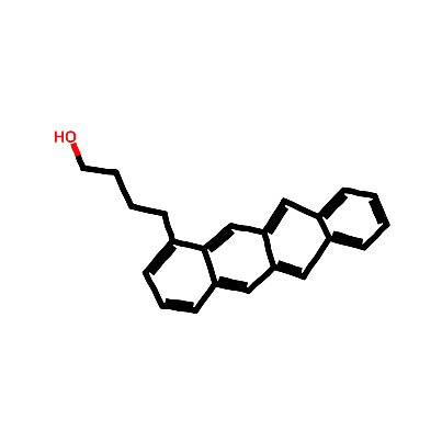 OCCCCc1cccc2cc3cc4ccccc4cc3cc12